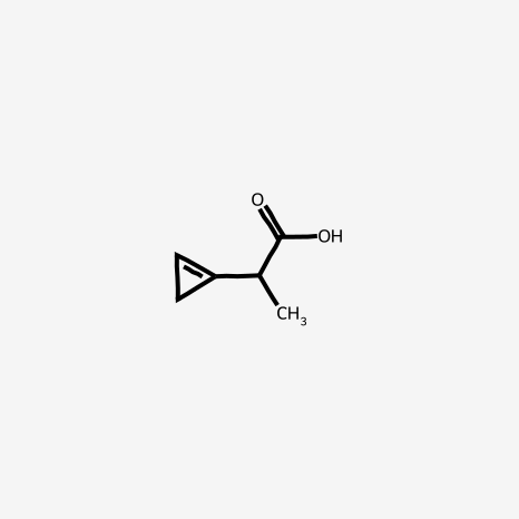 CC(C(=O)O)C1=CC1